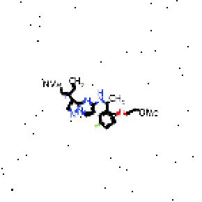 C=C/C(=C\NC)c1cnn2ccc(NC(C)c3cc(F)ccc3OCCOC)nc12